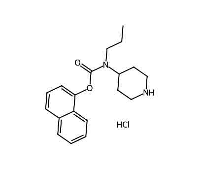 CCCN(C(=O)Oc1cccc2ccccc12)C1CCNCC1.Cl